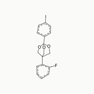 Fc1ccccc1C12COC(c3ccc(I)cc3)(OC1)OC2